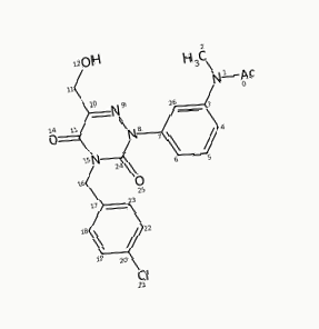 CC(=O)N(C)c1cccc(-n2nc(CO)c(=O)n(Cc3ccc(Cl)cc3)c2=O)c1